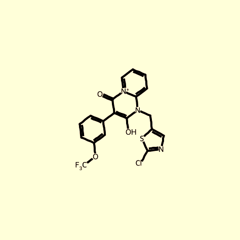 O=c1c(-c2cccc(OC(F)(F)F)c2)c(O)n(Cc2cnc(Cl)s2)c2cccc[n+]12